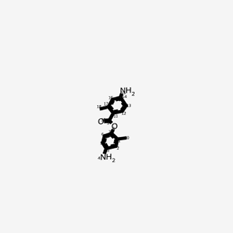 Cc1cc(N)ccc1OC(=O)c1ccc(N)cc1C